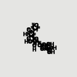 O=c1[nH]c(=O)n(C2CCOCC2)cc1C1OC(COP(O)OP(O)OP(O)O)C(O)C1O